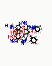 CN[C@@H]1CC(N=[N+]=[N-])[C@@H](O[C@H]2OC(CN=[N+]=[N-])[C@@H](OCc3ccccc3)[C@@H](OCc3ccccc3)C2N=[N+]=[N-])[C@H](O[C@@H]2OC(C)[C@@H](N=[N+]=[N-])[C@H](O)C2O)C1O